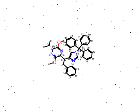 COC1=N[C@H](C(C)C)C(OC)=N[C@H]1C(Cc1ccccc1)c1cn(C(c2ccccc2)(c2ccccc2)c2ccccc2)cn1